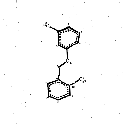 Oc1cccc(OCc2ccccc2C(F)(F)F)c1